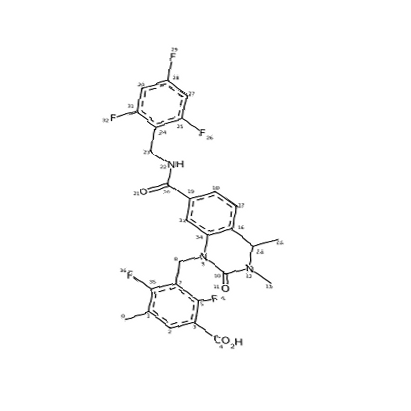 Cc1cc(C(=O)O)c(F)c(CN2C(=O)N(C)C(C)c3ccc(C(=O)NCc4c(F)cc(F)cc4F)cc32)c1F